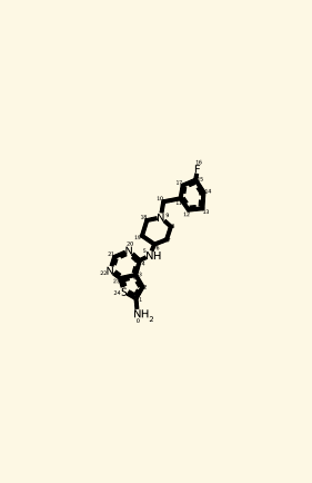 Nc1cc2c(NC3CCN(Cc4cccc(F)c4)CC3)ncnc2s1